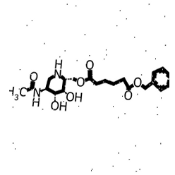 CC(=O)N[C@H]1CN[C@H](COC(=O)CCCCC(=O)OCc2ccccc2)[C@H](O)[C@@H]1O